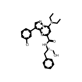 CCN(CC)c1cc(C(=O)N[C@H](CO)Cc2ccccc2)nc2c(-c3cccc(Cl)c3)cnn12